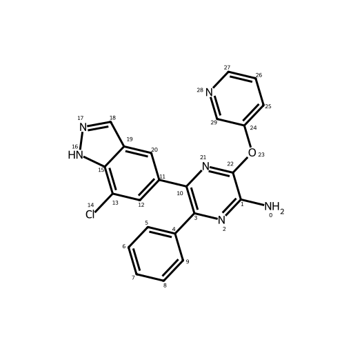 Nc1nc(-c2ccccc2)c(-c2cc(Cl)c3[nH]ncc3c2)nc1Oc1cccnc1